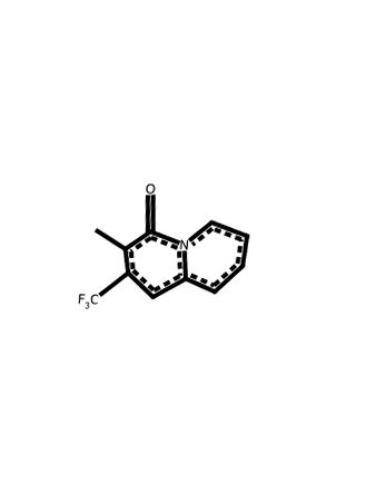 Cc1c(C(F)(F)F)cc2ccccn2c1=O